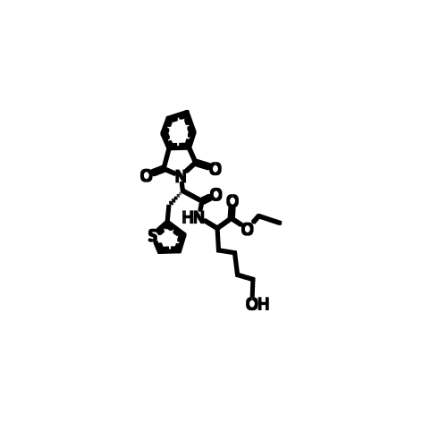 CCOC(=O)C(CCCCO)NC(=O)[C@H](Cc1cccs1)N1C(=O)c2ccccc2C1=O